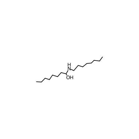 CCCCCCCCNC(O)CCCCCCC